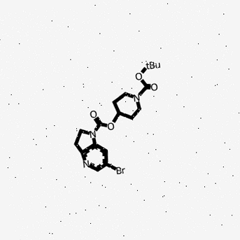 CC(C)(C)OC(=O)N1CCC(OC(=O)N2CCc3ncc(Br)cc32)CC1